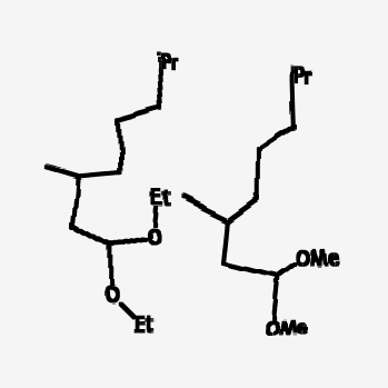 CCOC(CC(C)CCCC(C)C)OCC.COC(CC(C)CCCC(C)C)OC